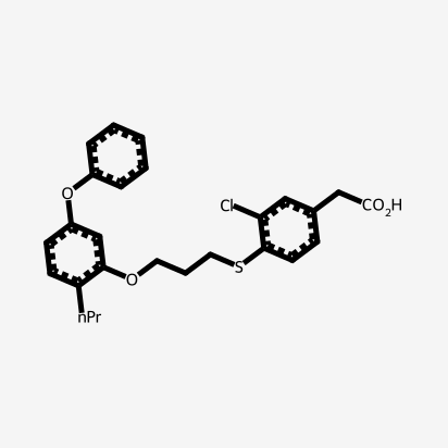 CCCc1ccc(Oc2ccccc2)cc1OCCCSc1ccc(CC(=O)O)cc1Cl